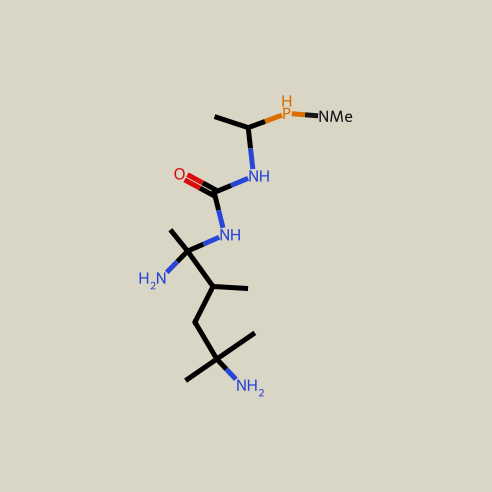 CNPC(C)NC(=O)NC(C)(N)C(C)CC(C)(C)N